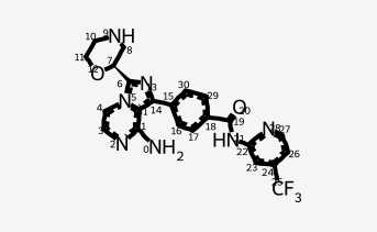 Nc1nccn2c([C@@H]3CNCCO3)nc(-c3ccc(C(=O)Nc4cc(C(F)(F)F)ccn4)cc3)c12